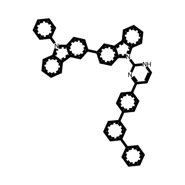 C1=CC(c2ccc(-c3cccc(-c4ccccc4)c3)cc2)=NC(n2c3ccccc3c3cc(-c4ccc5c(c4)c4ccccc4n5-c4ccccc4)ccc32)N1